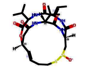 C/C=C1\NC(=O)[C@H]2C[S+]([O-])SCC/C=C/[C@H](CC(=O)N[C@H](C(C)C)C(=O)N2)OC(=O)C(C(C)C)NC1=O